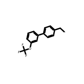 [CH2]Cc1ccc(-c2cccc(OC(F)(F)F)c2)cc1